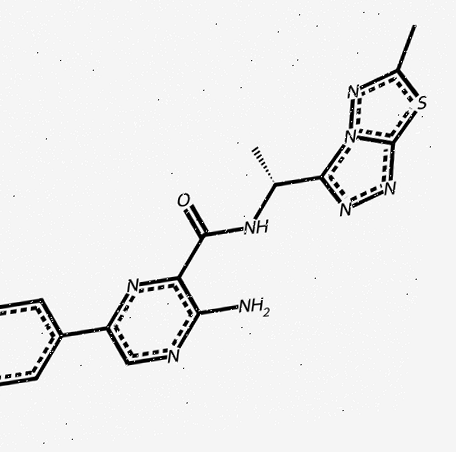 Cc1nn2c([C@@H](C)NC(=O)c3nc(-c4ccccc4)cnc3N)nnc2s1